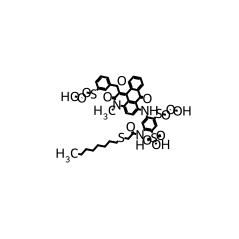 CCCCCCCCSCC(=O)Nc1cc(Nc2ccc3c4c2C(=O)c2ccccc2-c4c(C(=O)c2cccc(SOOO)c2)c(=O)n3C)c(SOOO)cc1S(=O)(=O)O